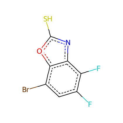 Fc1cc(Br)c2oc(S)nc2c1F